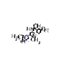 C=CN/C=C(\C=C/C)c1cc(NC(=C)c2cccc(OCC)c2)cnc1C